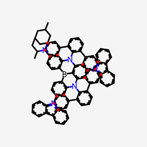 CC1CC2CC(C)N(c3ccc4c(c3)N(c3c(-c5ccccc5)cccc3-c3ccccc3)c3cc(-n5c6ccccc6c6ccccc65)cc5c3B4c3ccc(-n4c6ccccc6c6ccccc64)cc3N5c3c(-c4ccccc4)cccc3-c3ccccc3)C(C1)C2